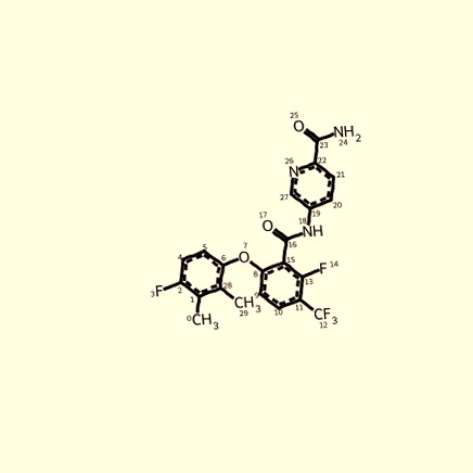 Cc1c(F)ccc(Oc2ccc(C(F)(F)F)c(F)c2C(=O)Nc2ccc(C(N)=O)nc2)c1C